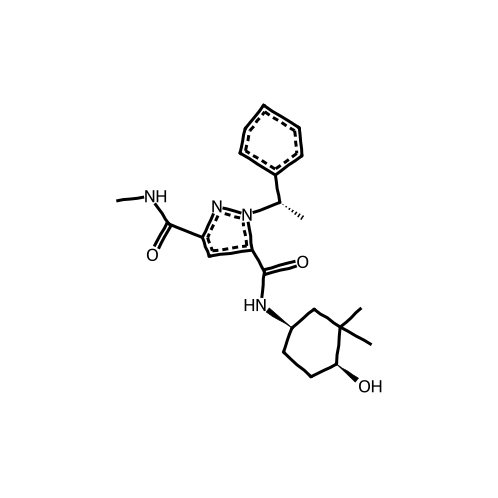 CNC(=O)c1cc(C(=O)N[C@@H]2CC[C@H](O)C(C)(C)C2)n([C@@H](C)c2ccccc2)n1